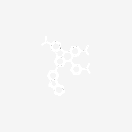 CC(C)c1cccc(N2c3cc(C(C)C)ccc3B3c4ccc(C(C)C)cc4-c4cc(-c5ccc6sc7ccccc7c6c5)cc2c43)c1